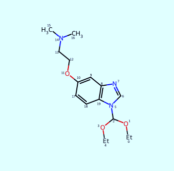 CCOC(OCC)n1cnc2cc(OCCN(C)C)ccc21